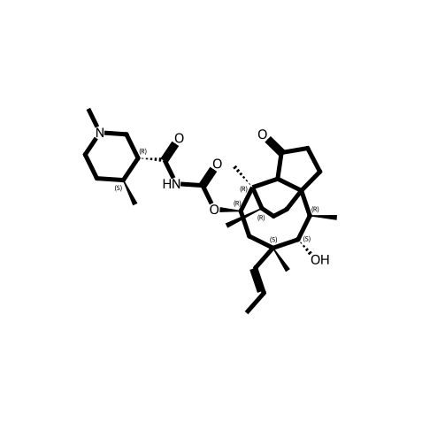 CC=C[C@]1(C)C[C@@H](OC(=O)NC(=O)[C@H]2CN(C)CC[C@@H]2C)[C@@]2(C)C3C(=O)CCC3(CC[C@H]2C)[C@@H](C)[C@@H]1O